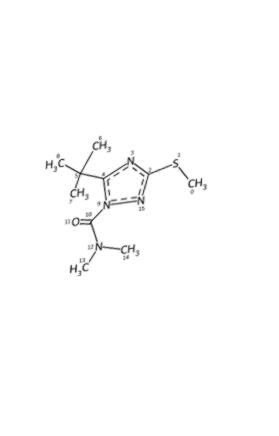 CSc1nc(C(C)(C)C)n(C(=O)N(C)C)n1